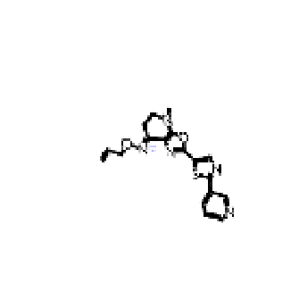 C=CCO/N=C1\CCN(C)c2oc(-c3cnc(-c4cccnc4)s3)nc21